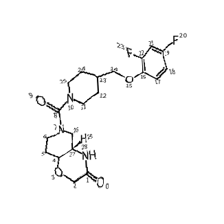 O=C1COC2CCN(C(=O)N3CCC(COc4ccc(F)cc4F)CC3)C[C@@H]2N1